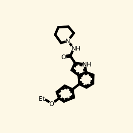 CCOc1ccc(-c2cccc3[nH]c(C(=O)NN4CCCCC4)cc23)cc1